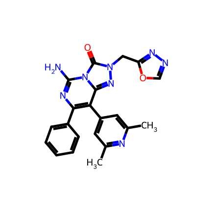 Cc1cc(-c2c(-c3ccccc3)nc(N)n3c(=O)n(Cc4nnco4)nc23)cc(C)n1